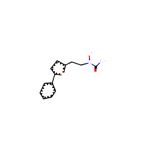 NC(=O)N(O)CCc1ccc(-c2ccccc2)s1